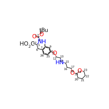 CC(C)(C)OC(=O)N[C@@H](Cc1ccc(OCCNCCCOC2CCCCO2)cc1)C(=O)O